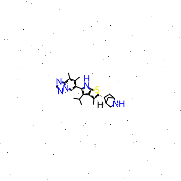 Cc1c(-c2[nH]c3sc([C@@H]4CC5C[C@H]4CN5)c(C)c3c2C(C)C)cn2ncnc2c1C